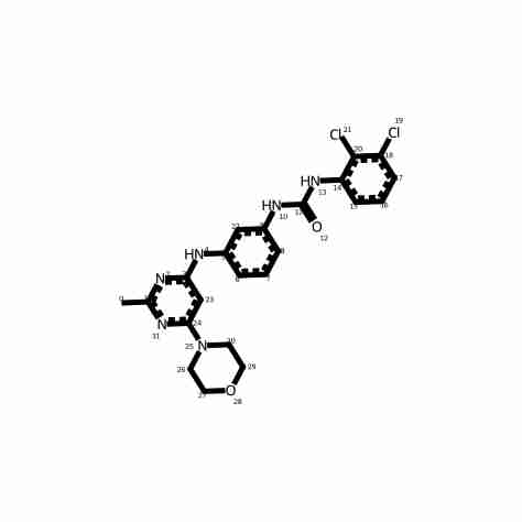 Cc1nc(Nc2cccc(NC(=O)Nc3cccc(Cl)c3Cl)c2)cc(N2CCOCC2)n1